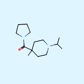 CC(C)N1CCC(C)(C(=O)N2CCCC2)CC1